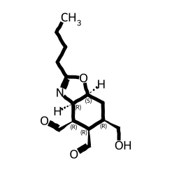 CCCCC1=N[C@@H]2[C@H](C=O)[C@H](C=O)[C@H](CO)C[C@@H]2O1